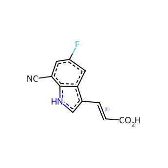 N#Cc1cc(F)cc2c(/C=C/C(=O)O)c[nH]c12